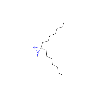 CCCCCCCC1(CCCCCCC)NN1C